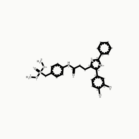 COP(=O)(Cc1ccc(NC(=O)CCc2oc(-c3ccccc3)nc2-c2ccc(Cl)c(Cl)c2)cc1)OC